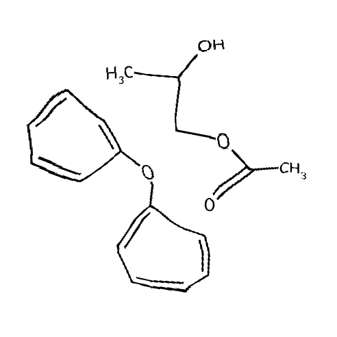 CC(=O)OCC(C)O.c1ccc(Oc2ccccc2)cc1